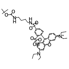 CCN(CC)c1ccc2c(-c3ccc(S(=O)(=O)NCCCCNC(=O)OC(C)(C)C)cc3S(=O)(=O)O)c3ccc(=[N+](CC)CC)cc-3oc2c1